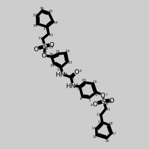 O=C(Nc1ccc(OS(=O)(=O)CCc2ccccc2)cc1)Nc1cccc(OS(=O)(=O)CCc2ccccc2)c1